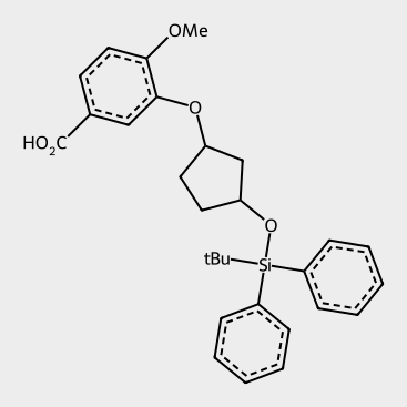 COc1ccc(C(=O)O)cc1OC1CCC(O[Si](c2ccccc2)(c2ccccc2)C(C)(C)C)C1